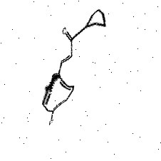 O=C(C=Cc1ccc(F)cc1)C1CC1